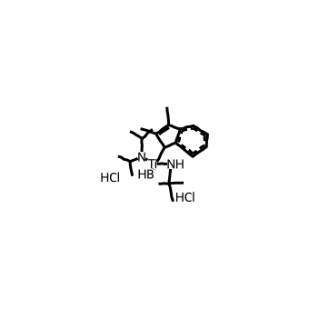 Cl.Cl.[BH]=[Ti]([NH]C(C)(C)C)([CH]1C(C)=C(C)c2ccccc21)[N](C(C)C)C(C)C